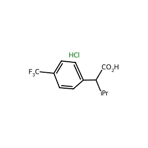 CC(C)C(C(=O)O)c1ccc(C(F)(F)F)cc1.Cl